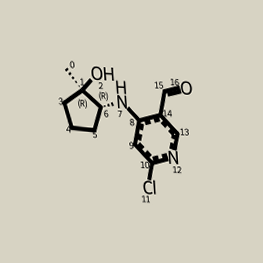 C[C@@]1(O)CCC[C@H]1Nc1cc(Cl)ncc1C=O